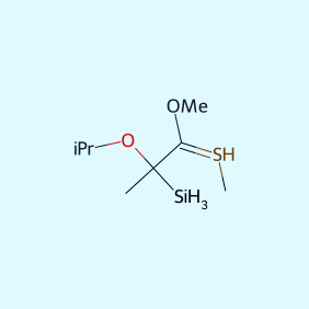 COC(=[SH]C)C(C)([SiH3])OC(C)C